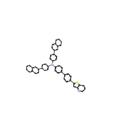 c1ccc2cc(-c3ccc(N(c4ccc(-c5ccc(-c6cc7ncccc7s6)cc5)cc4)c4ccc(-c5ccc6ccccc6c5)cc4)cc3)ccc2c1